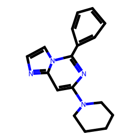 c1ccc(-c2nc(N3CCCCC3)cc3nccn23)cc1